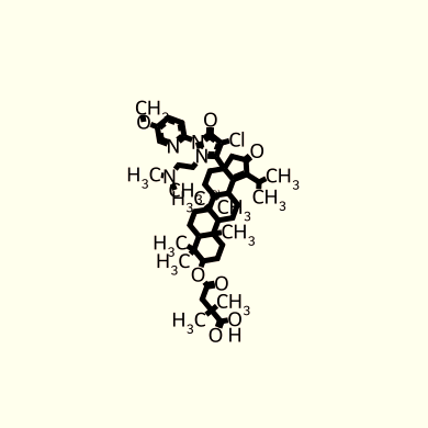 COc1ccc(-n2c(=O)c(Cl)c(C34CC[C@]5(C)C(CCC6C7(C)CCC(OC(=O)CC(C)(C)C(=O)O)C(C)(C)C7CCC65C)C3=C(C(C)C)C(=O)C4)n2CCN(C)C)nc1